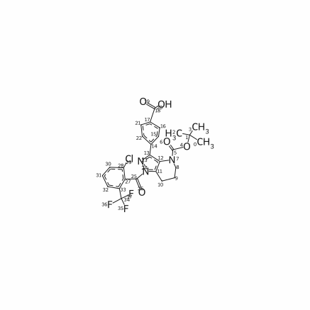 CC(C)(C)OC(=O)N1CCCc2c1c(-c1ccc(C(=O)O)cc1)nn2C(=O)c1c(Cl)cccc1C(F)(F)F